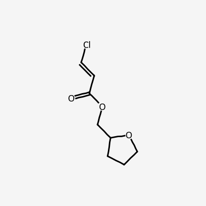 O=C(C=CCl)OCC1CCCO1